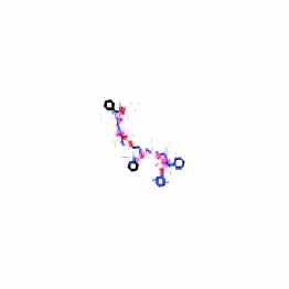 CCC[C@H](NC(=O)CCN(CCNC(=O)[C@@H](NC(=O)[C@@H](NC(=O)c1cnccn1)C1CCCCC1)C(C)C)C(=O)Nc1ccccc1)C(=O)C(=O)NCC(=O)N[C@H](C(=O)NC)c1ccccc1